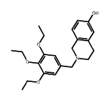 CCOc1cc(CN2CCc3cc(O)ccc3C2)cc(OCC)c1OCC